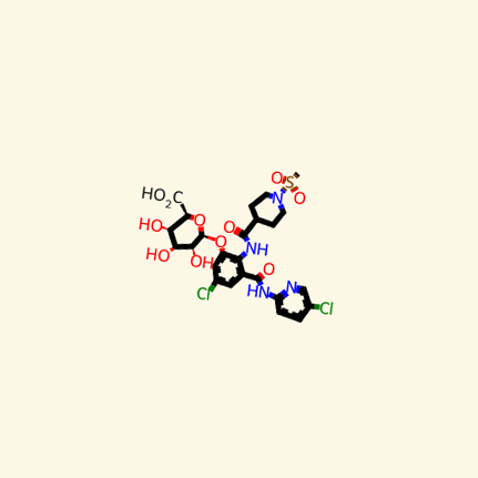 CS(=O)(=O)N1CCC(C(=O)Nc2c(O[C@@H]3O[C@H](C(=O)O)[C@@H](O)[C@H](O)[C@H]3O)cc(Cl)cc2C(=O)Nc2ccc(Cl)cn2)CC1